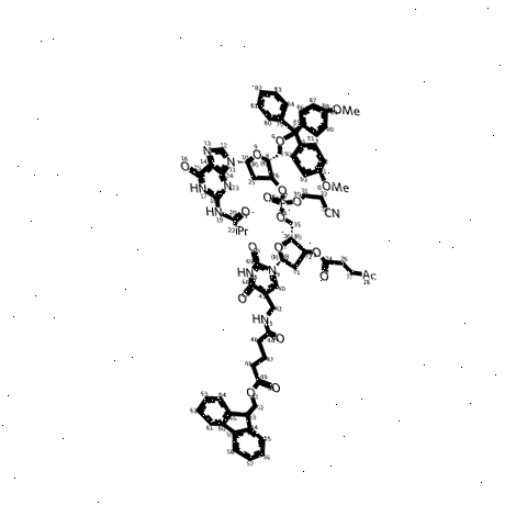 COc1ccc(C(OC[C@H]2O[C@@H](n3cnc4c(=O)[nH]c(NC(=O)C(C)C)nc43)CC2OP(=O)(OCCC#N)OC[C@H]2O[C@@H](n3cc(CNC(=O)CCCC(=O)OCC4c5ccccc5-c5ccccc54)c(=O)[nH]c3=O)CC2OC(=O)CCC(C)=O)(c2ccccc2)c2ccc(OC)cc2)cc1